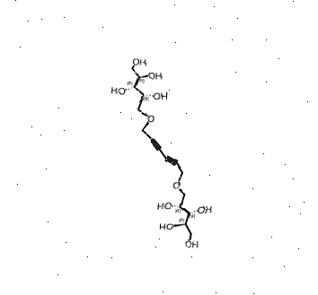 OC[C@@H](O)[C@@H](O)[C@H](O)COCC#CC#CCOC[C@@H](O)[C@H](O)[C@H](O)CO